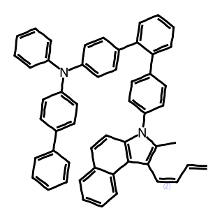 C=C/C=C\c1c(C)n(-c2ccc(-c3ccccc3-c3ccc(N(c4ccccc4)c4ccc(-c5ccccc5)cc4)cc3)cc2)c2ccc3ccccc3c12